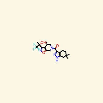 C[C@H]1CN(C(=O)c2n[nH]c3c2CCC(C)(C)C3)Cc2onc(C(C)(O)C(F)(F)F)c21